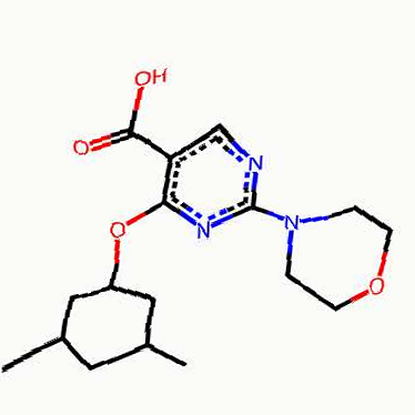 CC1CC(C)CC(Oc2nc(N3CCOCC3)ncc2C(=O)O)C1